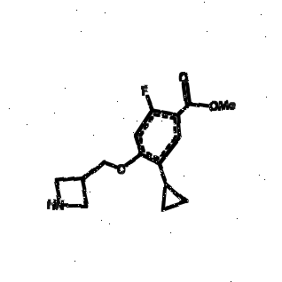 COC(=O)c1cc(C2CC2)c(OCC2CNC2)cc1F